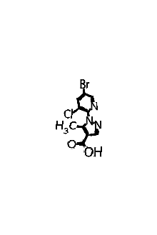 Cc1c(C(=O)O)cnn1-c1ncc(Br)cc1Cl